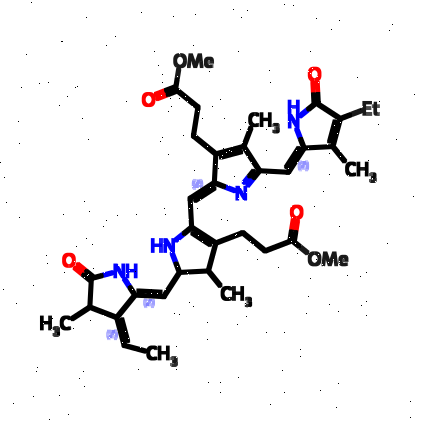 C/C=C1\C(=C\C2NC(/C=C3N=C(/C=C4\NC(=O)C(CC)=C4C)C(C)=C\3CCC(=O)OC)=C(CCC(=O)OC)C2C)NC(=O)C1C